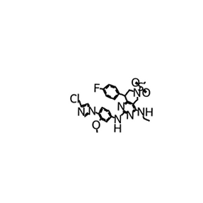 CCNc1nc(Nc2ccc(-n3cnc(Cl)c3)c(OC)c2)nc2c1CN(S(C)(=O)=O)CC2c1ccc(F)cc1